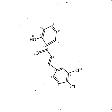 O=C(/C=C/c1ccc(Cl)c(Cl)c1)c1ccccc1O